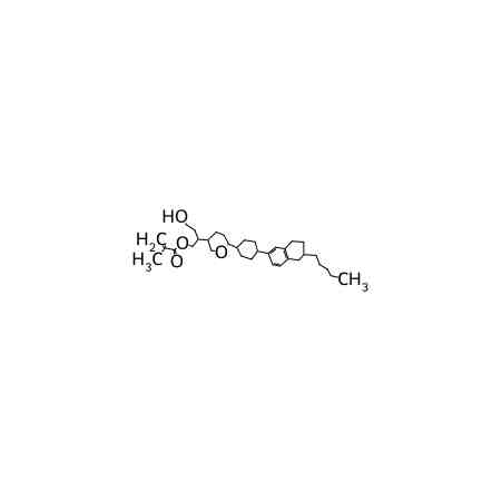 C=C(C)C(=O)OCC(CCO)C1CCC(C2CCC(c3ccc4c(c3)CCC(CCCCC)C4)CC2)OC1